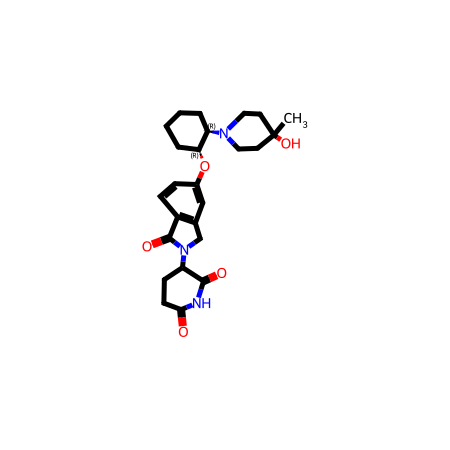 CC1(O)CCN([C@@H]2CCCC[C@H]2Oc2ccc3c(c2)CN(C2CCC(=O)NC2=O)C3=O)CC1